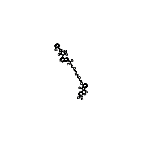 O=C1CCC(N2C(=O)c3cccc(OCCOCCOCCOCCNC(=O)c4ccc5c(N6C(=O)NC7(CC(c8ccccc8Cl)C7)C6=O)cncc5c4)c3C2=O)C(=O)N1